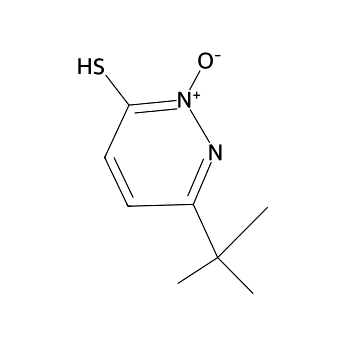 CC(C)(C)c1ccc(S)[n+]([O-])n1